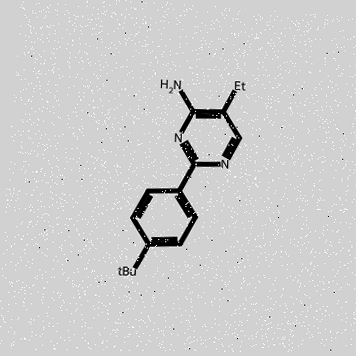 CCc1cnc(-c2ccc(C(C)(C)C)cc2)nc1N